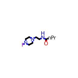 CCCC(=O)NCCN1CCN(I)CC1